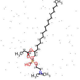 CCCCCCCCCCCCCCCCC(COP(O)OCCN(C)C)OC(=O)CC